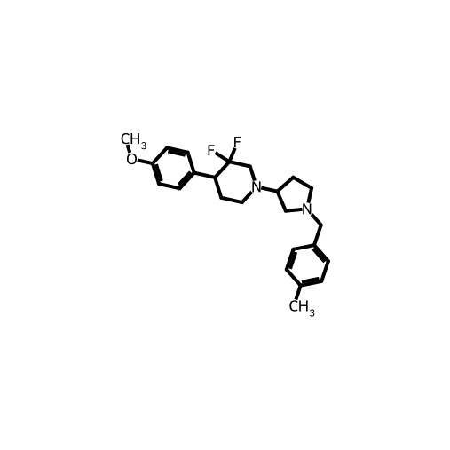 COc1ccc(C2CCN(C3CCN(Cc4ccc(C)cc4)C3)CC2(F)F)cc1